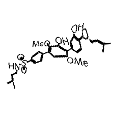 COc1cc(-c2ccc(S(=O)(=O)NCC=C(C)C)cc2)c(OC)c(O)c1-c1ccc(OCC=C(C)C)c(O)c1